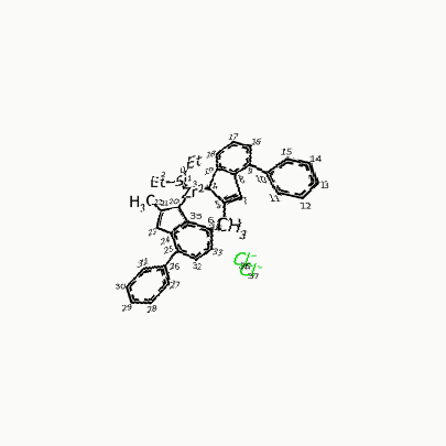 CC[Si](CC)=[Zr+2]([CH]1C(C)=Cc2c(-c3ccccc3)cccc21)[CH]1C(C)=Cc2c(-c3ccccc3)cccc21.[Cl-].[Cl-]